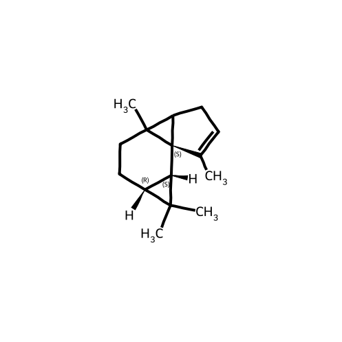 CC1=CCC2C3(C)CC[C@@H]4[C@@H](C4(C)C)[C@@]123